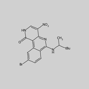 CC(Nc1nc2c([N+](=O)[O-])c[nH]c(=O)c2c2cc(Br)ccc12)C(C)(C)C